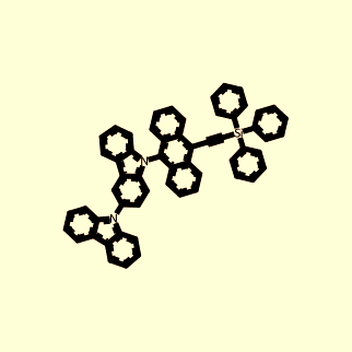 C(#C[Si](c1ccccc1)(c1ccccc1)c1ccccc1)c1c2ccccc2c(-n2c3ccccc3c3cc(-n4c5ccccc5c5ccccc54)ccc32)c2ccccc12